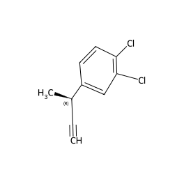 C#C[C@@H](C)c1ccc(Cl)c(Cl)c1